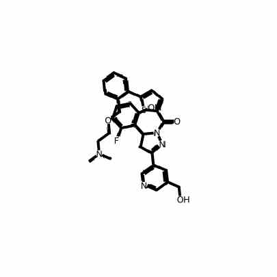 CN(C)CCOCc1ccccc1-c1ccc(C(=O)N2N=C(c3cncc(CO)c3)CC2c2c(O)cccc2F)s1